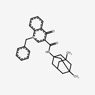 CC12CC3CC(C)(C1)CC(NC(=O)c1cn(Cc4ccccc4)c4ccccc4c1=O)(C3)C2